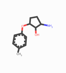 Cc1ccc(OC2CCC(N)C2O)cc1